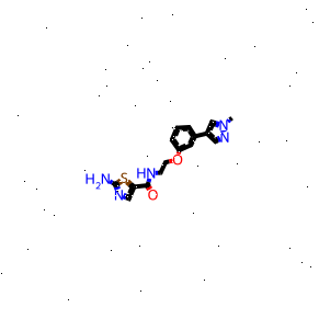 Cn1cc(-c2c[c]cc(OCCNC(=O)c3cnc(N)s3)c2)cn1